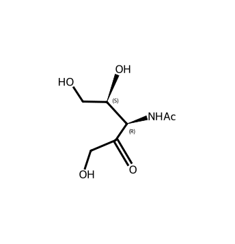 CC(=O)N[C@@H](C(=O)CO)[C@H](O)CO